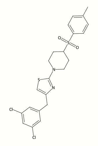 Cc1ccc(S(=O)(=O)C2CCN(c3nc(Cc4cc(Cl)cc(Cl)c4)cs3)CC2)cc1